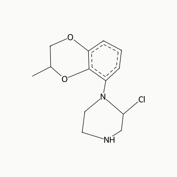 CC1COc2cccc(N3CCNCC3Cl)c2O1